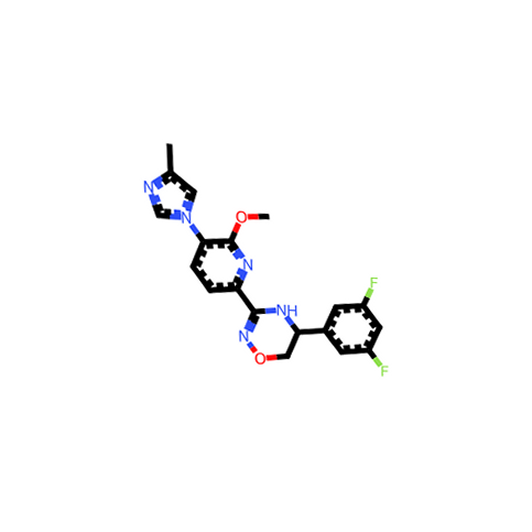 COc1nc(C2=NOCC(c3cc(F)cc(F)c3)N2)ccc1-n1cnc(C)c1